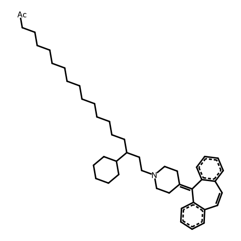 CC(=O)CCCCCCCCCCCCCCC(CCN1CCC(=C2c3ccccc3C=Cc3ccccc32)CC1)C1CCCCC1